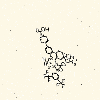 COc1ccc(C2=CCN(C(=O)O)CC2)cc1C1=C(CN2C(=O)O[C@H](c3cc(C(F)(F)F)cc(C(F)(F)F)c3)[C@@H]2C)CC(C)(C)CC1